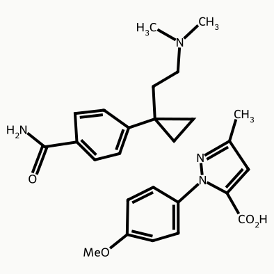 CN(C)CCC1(c2ccc(C(N)=O)cc2)CC1.COc1ccc(-n2nc(C)cc2C(=O)O)cc1